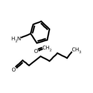 C=O.CCCCCCC=O.Nc1ccccc1